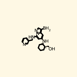 Bc1cnn2c(NCc3cccnc3)cc(N[C@@H]3CCCC[C@@H]3CO)cc12